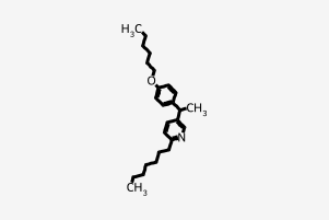 CCCCCCCc1ccc(C(C)c2ccc(OCCCCCC)cc2)cn1